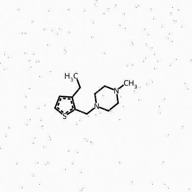 CCc1ccsc1CN1CCN(C)CC1